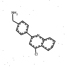 NCc1ccc(-c2cc(Cl)c3ccccc3n2)cc1